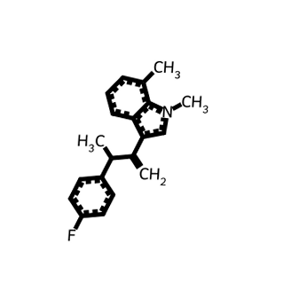 C=C(c1cn(C)c2c(C)cccc12)C(C)c1ccc(F)cc1